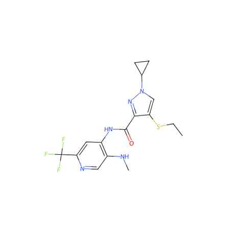 CCSc1cn(C2CC2)nc1C(=O)Nc1cc(C(F)(F)F)ncc1NC